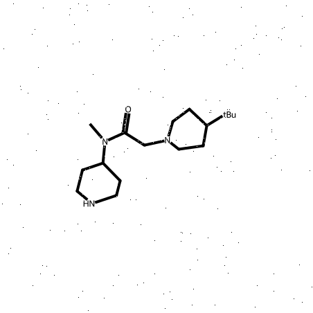 CN(C(=O)CN1CCC(C(C)(C)C)CC1)C1CCNCC1